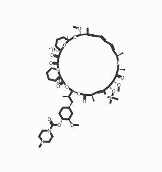 CO[C@H]1C[C@@H]2CC[C@@H](C)[C@@](O)(O2)C(=O)C(=O)N2CCCC[C@H]2C(=O)O[C@H]([C@H](C)C[C@@H]2CC[C@@H](OC(=O)N3CCN(C)CC3)[C@H](OC)C2)CC(=O)[C@H](C)/C=C(\C)[C@@H](O[Si](C)(C)C)[C@@H](OC)C(=O)[C@H](C)C[C@H](C)/C=C/C=C/C=C/1C